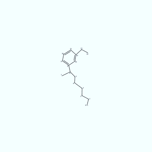 [CH2]CCCCCC(C)c1cccc(CC)c1